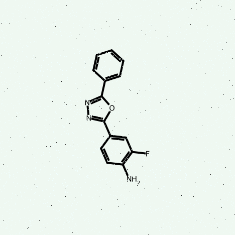 Nc1ccc(-c2nnc(-c3ccccc3)o2)cc1F